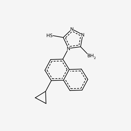 Bc1nnc(S)n1-c1ccc(C2CC2)c2ccccc12